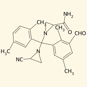 Cc1ccc(C)c(C(c2cc(C)cc(C=O)c2C)(N2CC2C#N)N2CC2C(N)=O)c1